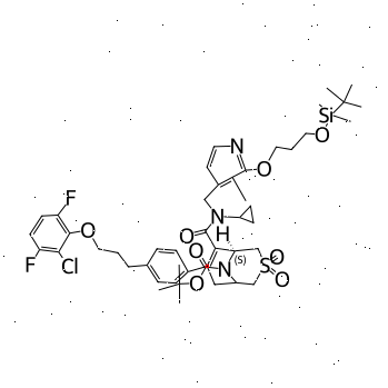 Cc1c(CN(C(=O)C2=C(c3ccc(CCCOc4c(F)ccc(F)c4Cl)cc3)CC3CS(=O)(=O)C[C@H]2N3C(=O)OC(C)(C)C)C2CC2)ccnc1OCCCO[Si](C)(C)C(C)(C)C